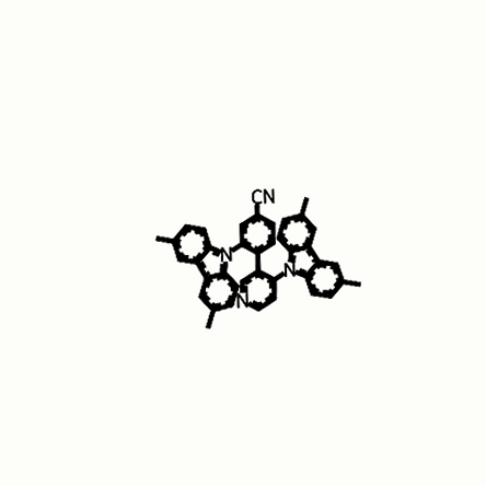 Cc1ccc2c(c1)c1cc(C)ccc1n2-c1ccncc1-c1ccc(C#N)cc1-n1c2ccc(C)cc2c2cc(C)ccc21